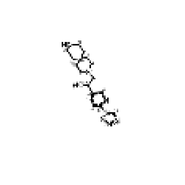 OC(CN1CCC2(CCNCC2)CC1)c1ccc(-n2cnnn2)nc1